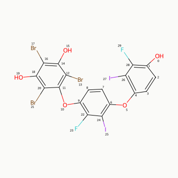 Oc1ccc(Oc2ccc(Oc3c(Br)c(O)c(Br)c(O)c3Br)c(F)c2I)c(I)c1F